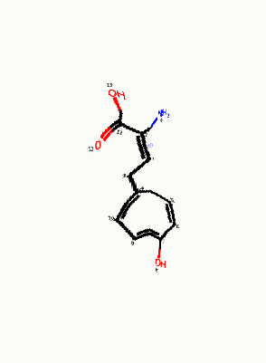 N/C(=C/Cc1ccc(O)cc1)C(=O)O